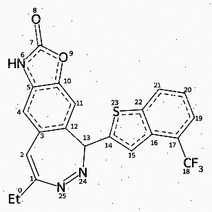 CCC1=Cc2cc3[nH]c(=O)oc3cc2C(c2cc3c(C(F)(F)F)cccc3s2)N=N1